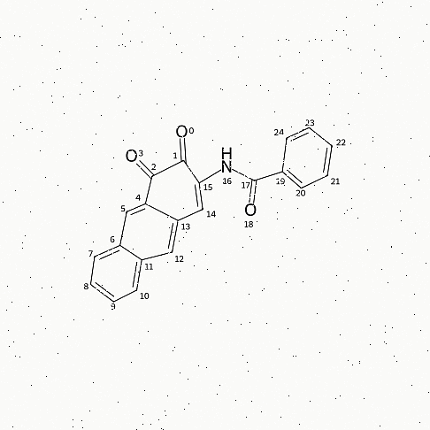 O=C1C(=O)c2cc3ccccc3cc2C=C1NC(=O)c1ccccc1